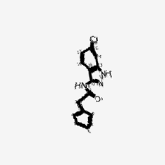 O=C(Cc1ccccc1)Nc1n[nH]c2cc(Cl)ccc12